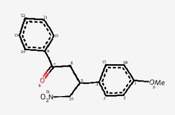 COc1ccc(C(CC(=O)c2ccccc2)C[N+](=O)[O-])cc1